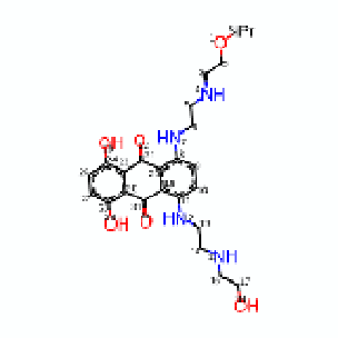 CC(C)OCCNCCNc1ccc(NCCNCCO)c2c1C(=O)c1c(O)ccc(O)c1C2=O